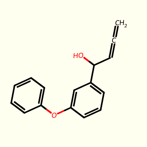 C=C=CC(O)c1cccc(Oc2ccccc2)c1